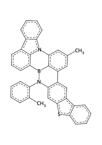 Cc1cc2c3c(c1)-n1c4ccccc4c4cccc(c41)B3N(c1ccccc1C)c1cc3sc4ccccc4c3cc1-2